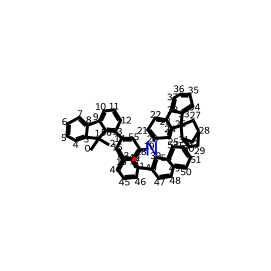 CC1(C)c2ccccc2-c2cccc(-c3cccc(N(c4ccc5c(c4)C4(CC6CCC4C6)c4ccccc4-5)c4c(-c5ccccc5)ccc5ccccc45)c3)c21